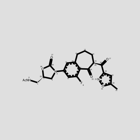 CC(=O)NC[C@H]1CN(c2cc(F)c3c(c2)CCC[C@@H](C(=O)c2cc(C)on2)C3=O)C(=O)O1